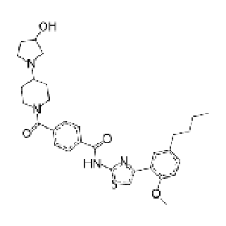 CCCCc1ccc(OC)c(-c2csc(NC(=O)c3ccc(C(=O)N4CCC(N5CCC(O)C5)CC4)cc3)n2)c1